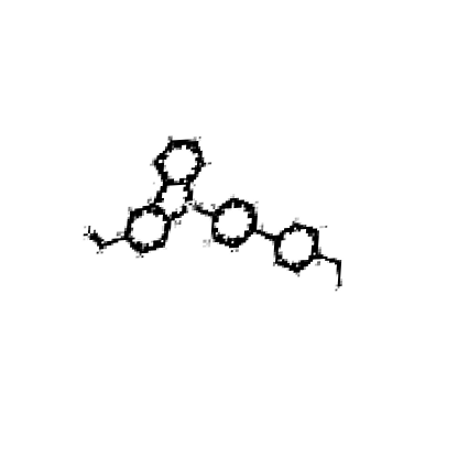 CCc1ccc(-c2ccc(-n3c4ccccc4c4cc(C=O)ccc43)cc2)cc1